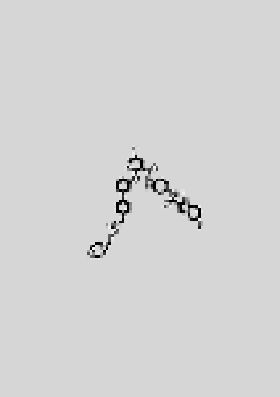 O=C(N[C@H]1CC[C@H](NC(=O)c2cc(F)cnc2Oc2cccc(-c3ccc(CNCCCN4CCOCC4)cc3)c2)CC1)c1cn2cc(F)ccc2n1